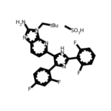 CC(C)(C)Cn1c(N)nc2ccc(-c3[nH]c(-c4c(F)cccc4F)nc3-c3ccc(F)cc3F)nc21.CS(=O)(=O)O